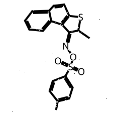 Cc1ccc(S(=O)(=O)O/N=C2/c3c(ccc4ccccc34)SC2C)cc1